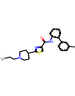 O=C(Nc1ccccc1-c1cccc(C(F)(F)F)c1)c1csc(C2CCN(CCC(F)(F)F)CC2)n1